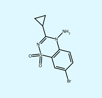 NN1C(C2CC2)=NS(=O)(=O)c2cc(Br)ccc21